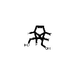 OCC1(F)C2(F)C=CC(F)(C2(F)F)C1(F)CO